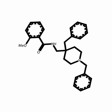 COc1ccccc1C(=O)NCC1(Cc2ccccc2)CCN(Cc2ccccc2)CC1